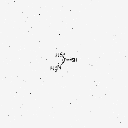 NP(S)S